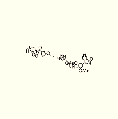 COc1cc(-c2cn(C)c(=O)c3cnccc23)cc(OC)c1CN1CCC(OCc2cn(CCCCCOc3ccc4c(c3)C(=O)N(C3CCC(=O)NC3=O)C4=O)nn2)CC1